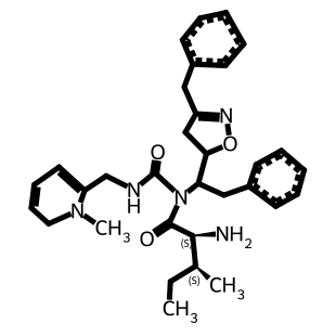 CC[C@H](C)[C@H](N)C(=O)N(C(=O)NCC1=CC=CCN1C)C(Cc1ccccc1)C1CC(Cc2ccccc2)=NO1